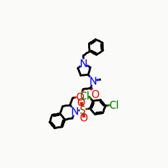 CN(C(=O)COCC1Cc2ccccc2CN1S(=O)(=O)c1ccc(Cl)cc1Cl)C1CCN(Cc2ccccc2)C1